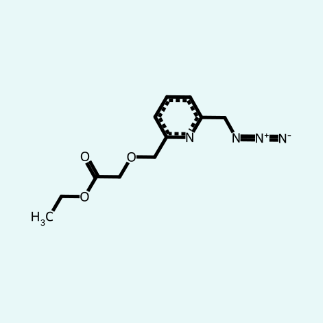 CCOC(=O)COCc1cccc(CN=[N+]=[N-])n1